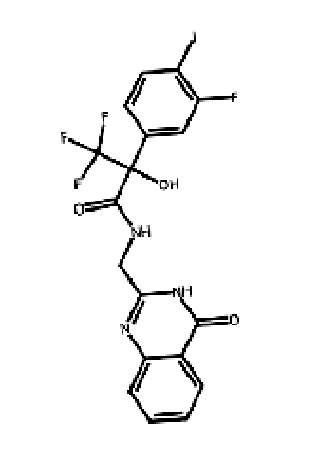 O=C(NCc1nc2ccccc2c(=O)[nH]1)C(O)(c1ccc(I)c(F)c1)C(F)(F)F